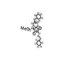 COCCN1C(=O)N(C/C=C/c2ccccc2)C(=O)C12CCN(Cc1ccccc1)CC2